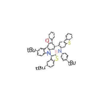 CC(C)(C)c1ccc(N2B3c4sc5ccc(C(C)(C)C)cc5c4-n4c5ccc(C(C)(C)C)cc5c5c6oc7ccccc7c6c(c3c54)-c3cc4c(cc32)sc2ccccc24)cc1